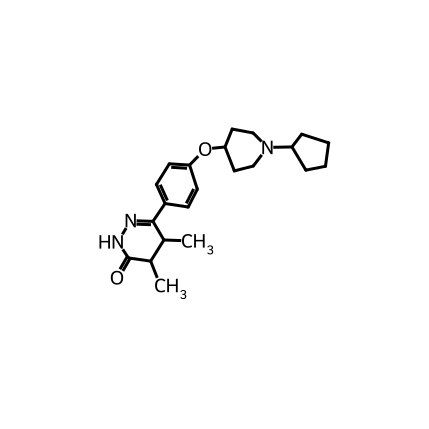 CC1C(=O)NN=C(c2ccc(OC3CCN(C4CCCC4)CC3)cc2)C1C